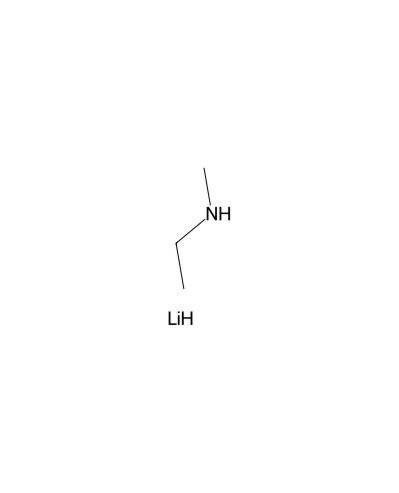 CCNC.[LiH]